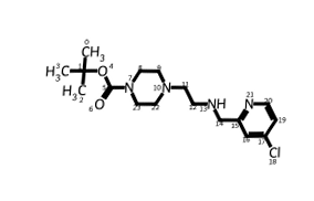 CC(C)(C)OC(=O)N1CCN(CCNCc2cc(Cl)ccn2)CC1